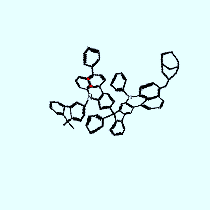 CC1(C)c2ccccc2-c2cc(N(c3ccccc3)c3cc(C4(c5ccccc5)c5ccccc5-c5cc(-c6ccccc6)c(N(c6ccccc6)c6ccc(CC7CC8CCCC(C8)C7)cc6)cc54)ccc3-c3ccc(-c4ccccc4)cc3)ccc21